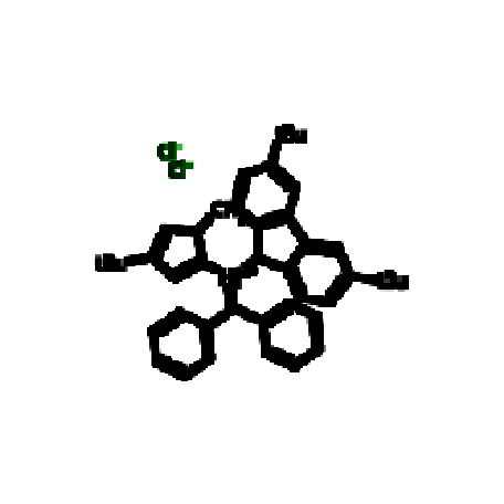 CC1C=C(C(C)(C)C)C=[C]1[Hf+2](=[C](c1ccccc1)c1ccccc1)[CH]1c2ccc(C(C)(C)C)cc2-c2cc(C(C)(C)C)ccc21.[Cl-].[Cl-]